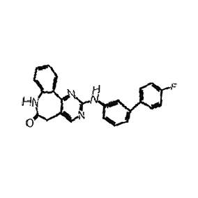 O=C1Cc2cnc(Nc3cccc(-c4ccc(F)cc4)c3)nc2-c2ccccc2N1